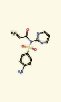 C=CC(=O)N(c1ncccn1)S(=O)(=O)c1ccc(N)cc1